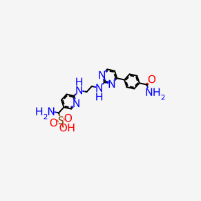 NC(=O)c1ccc(-c2ccnc(NCCNc3ccc(C(N)S(=O)(=O)O)cn3)n2)cc1